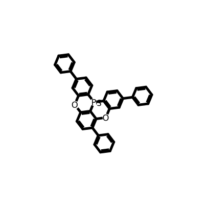 S=P12c3ccc(-c4ccccc4)cc3Oc3ccc(-c4ccccc4)c(c31)Oc1cc(-c3ccccc3)ccc12